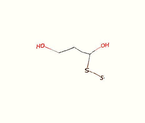 OCCC(O)S[S]